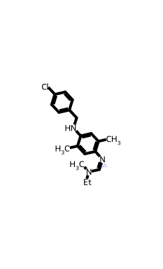 CCN(C)/C=N\c1cc(C)c(NCc2ccc(Cl)cc2)cc1C